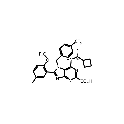 Cc1ccc(OC(F)(F)F)c(-c2nc3nc(C(=O)O)nc(N[C@H](C)C4CCC4)c3n2Cc2ccc(C(F)(F)F)cc2)c1